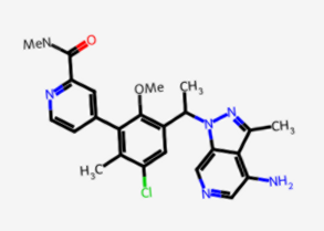 CNC(=O)c1cc(-c2c(C)c(Cl)cc(C(C)n3nc(C)c4c(N)cncc43)c2OC)ccn1